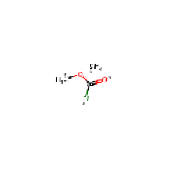 COC(=O)Cl.[SiH4]